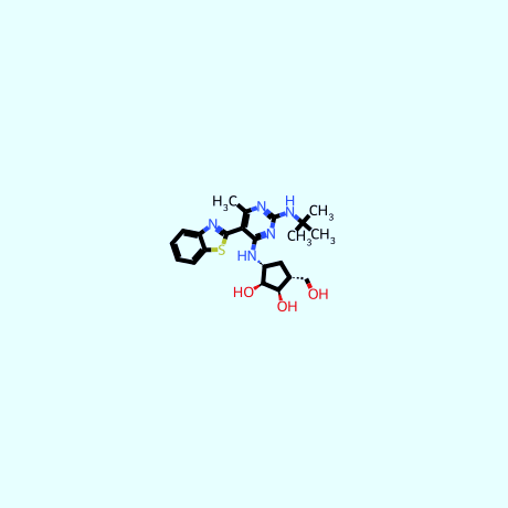 Cc1nc(NC(C)(C)C)nc(N[C@@H]2C[C@H](CO)[C@@H](O)[C@H]2O)c1-c1nc2ccccc2s1